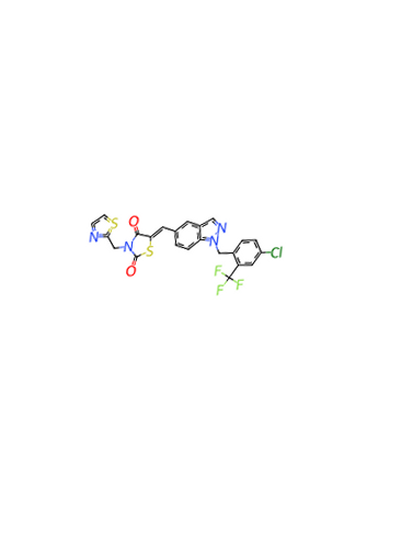 O=C1S/C(=C\c2ccc3c(cnn3Cc3ccc(Cl)cc3C(F)(F)F)c2)C(=O)N1Cc1nccs1